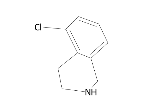 Clc1cccc2c1CCNC2